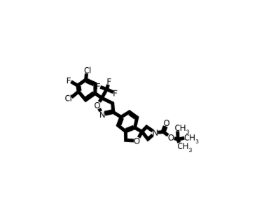 CC(C)(C)OC(=O)N1CC2(C1)OCc1cc(C3=NOC(c4cc(Cl)c(F)c(Cl)c4)(C(F)(F)F)C3)ccc12